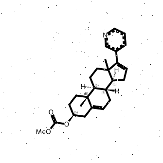 COC(=O)O[C@H]1CC[C@@]2(C)C(=CC[C@H]3[C@@H]4CC=C(c5cccnc5)C4(C)CC[C@@H]32)C1